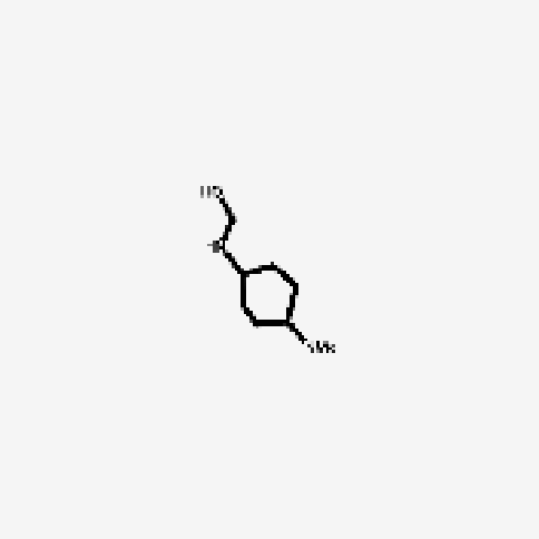 CNC1CCC(NCO)CC1